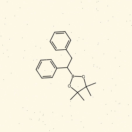 CC1(C)OB(C(Cc2ccccc2)c2ccccc2)OC1(C)C